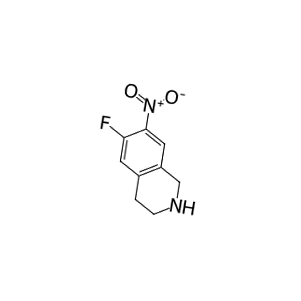 O=[N+]([O-])c1cc2c(cc1F)CCNC2